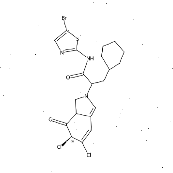 O=C(Nc1ncc(Br)s1)C(CC1CCCCC1)N1C=C2C=C(Cl)[C@@H](Cl)C(=O)C2C1